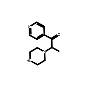 CC(C(=O)c1ccncc1)N1CCNCC1